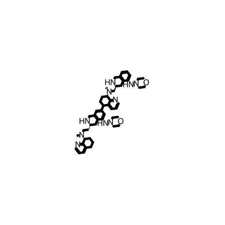 CN(CC[C@H]1Cc2c(cc(C3CC[C@H](N(C)C[C@@H]4Cc5c(cccc5NN5CCOCC5)CN4)c4ncccc43)cc2NN2CCOCC2)CN1)[C@H]1CCCc2cccnc21